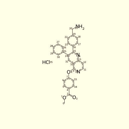 COC(=O)c1ccc(Oc2nccc3nc(-c4ccc(CN)cc4)c(-c4ccccc4)cc23)cc1.Cl